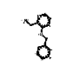 NCc1ncccc1OCc1ccccc1